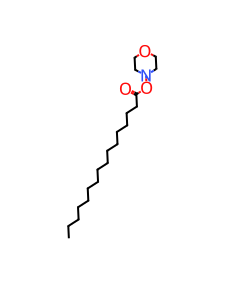 CCCCCCCCCCCCCCCC(=O)ON1CCOCC1